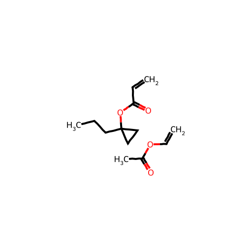 C=CC(=O)OC1(CCC)CC1.C=COC(C)=O